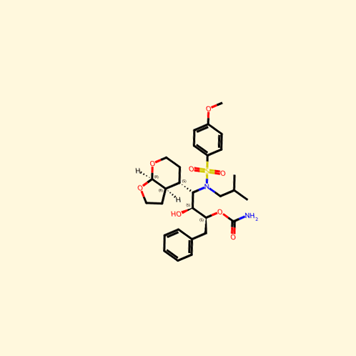 COc1ccc(S(=O)(=O)N(CC(C)C)C([C@H]2CCO[C@@H]3OCC[C@@H]32)[C@H](O)[C@H](Cc2ccccc2)OC(N)=O)cc1